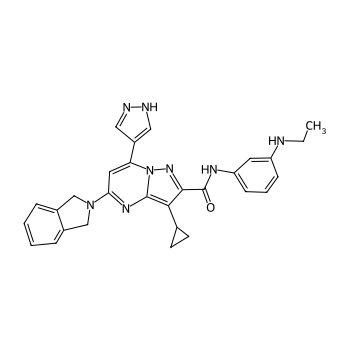 CCNc1cccc(NC(=O)c2nn3c(-c4cn[nH]c4)cc(N4Cc5ccccc5C4)nc3c2C2CC2)c1